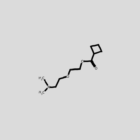 CN(C)CCOCCOC(=O)C1CCC1